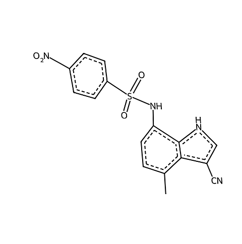 Cc1ccc(NS(=O)(=O)c2ccc([N+](=O)[O-])cc2)c2[nH]cc(C#N)c12